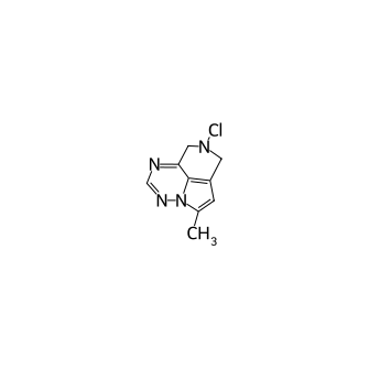 Cc1cc2c3c(ncnn13)CN(Cl)C2